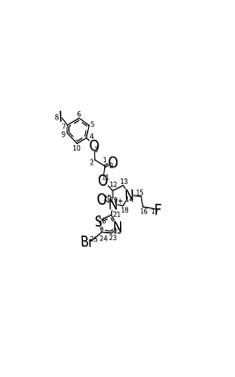 O=C(COc1ccc(I)cc1)OC1CN(CCF)C[N+]1([O-])c1ncc(Br)s1